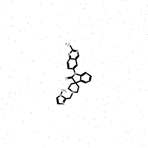 Cn1ccnc1CN1CCC2(CC1)C(=O)N(c1ccc3nc(C(F)(F)F)ncc3c1)c1ccccc12